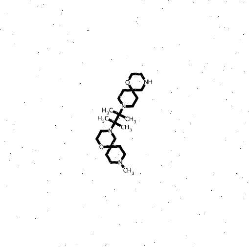 CN1CCC2(CC1)CN(C(C)(C)C(C)(C)N1CCC3(CC1)CNCCO3)CCO2